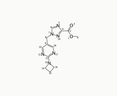 COC(=O)c1ncn(Cc2cnc(N3CCC3)nc2)n1